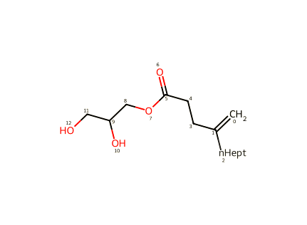 C=C(CCCCCCC)CCC(=O)OCC(O)CO